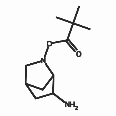 CC(C)(C)C(=O)ON1CC2CC(N)C1C2